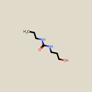 CCCNC(=O)NCCCO